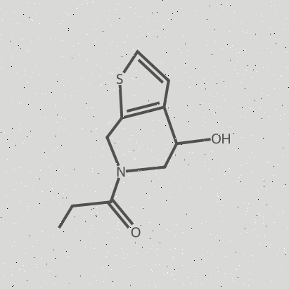 CCC(=O)N1Cc2sccc2C(O)C1